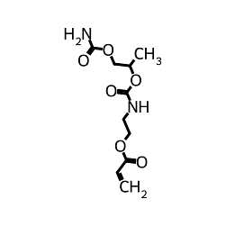 C=CC(=O)OCCNC(=O)OC(C)COC(N)=O